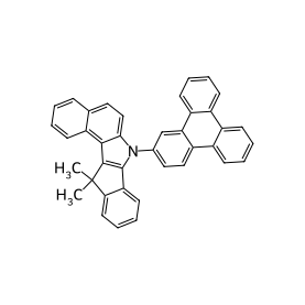 CC1(C)c2ccccc2-c2c1c1c3ccccc3ccc1n2-c1ccc2c3ccccc3c3ccccc3c2c1